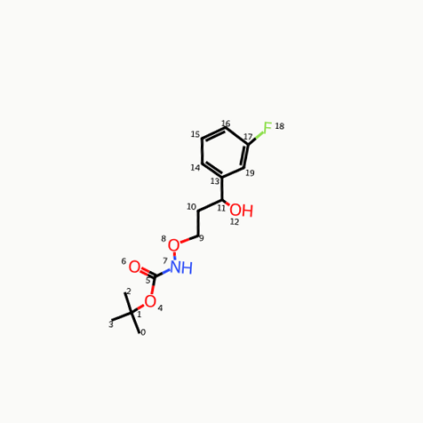 CC(C)(C)OC(=O)NOCCC(O)c1cccc(F)c1